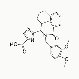 COc1ccc(CN(C(=O)c2ccccc2)C(c2nc(C(=O)O)cs2)C2CCCCC2)cc1OC